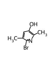 Cc1cc(O)c(C)nc1Br